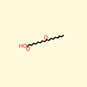 CCC=CCCCCC(=O)CCCCCCCCC(=O)O